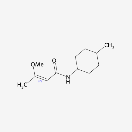 CO/C(C)=C\C(=O)NC1CCC(C)CC1